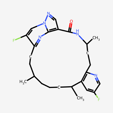 CC1CCCC(C)c2cc(F)cnc2CCC(C)NC(=O)c2cnn3cc(F)c(nc23)CC1